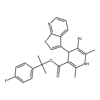 CC(=O)C1=C(C)NC(C)=C(C(=O)OC(C)(C)c2ccc(F)cc2)C1c1csc2ncccc12